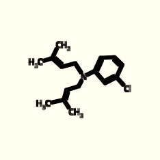 CC(C)=CCN(CC=C(C)C)c1cccc(Cl)c1